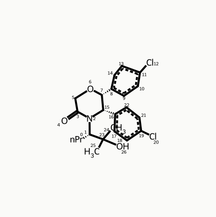 CCC[C@H](N1C(=O)CO[C@H](c2ccc(Cl)cc2)[C@@H]1c1ccc(Cl)cc1)C(C)(C)O